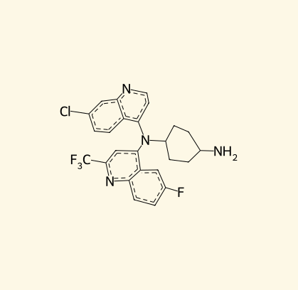 NC1CCC(N(c2ccnc3cc(Cl)ccc23)c2cc(C(F)(F)F)nc3ccc(F)cc23)CC1